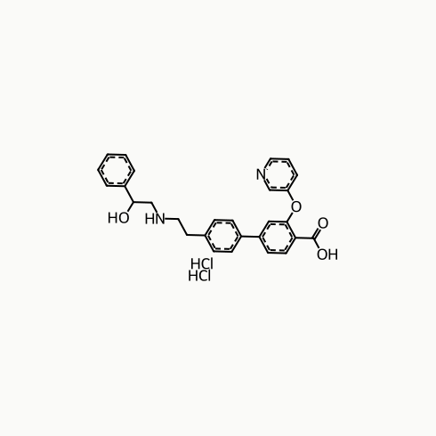 Cl.Cl.O=C(O)c1ccc(-c2ccc(CCNCC(O)c3ccccc3)cc2)cc1Oc1cccnc1